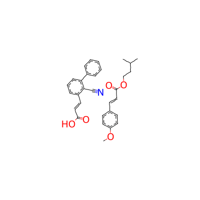 COc1ccc(C=CC(=O)OCCC(C)C)cc1.N#Cc1c(C=CC(=O)O)cccc1-c1ccccc1